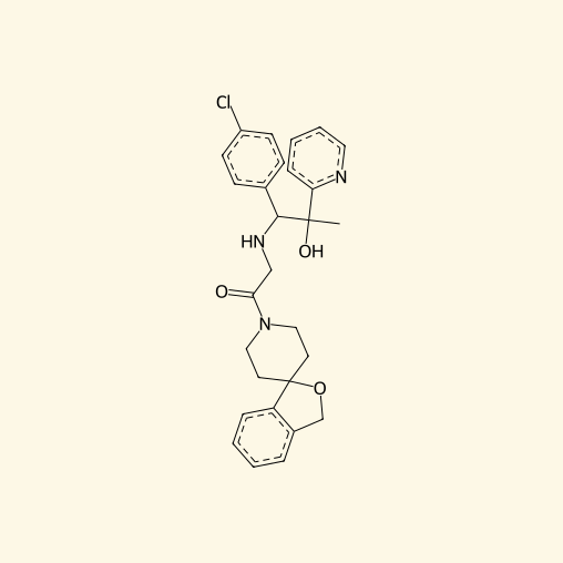 CC(O)(c1ccccn1)C(NCC(=O)N1CCC2(CC1)OCc1ccccc12)c1ccc(Cl)cc1